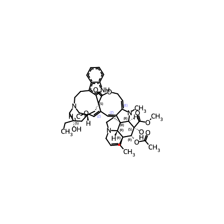 CC[C@]1(O)C[C@@H]2CN(CCc3c([nH]c4ccccc34)[C@@]3(C2)C(=O)OC\C=C2/C(=C\C3=C\OC)[C@@]34CCN5CC=C[C@@](CC)([C@@H](OC(C)=O)[C@](O)(C(=O)OC)[C@@H]3N2C)[C@H]54)C1